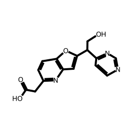 O=C(O)Cc1ccc2oc(C(CO)c3ccncn3)cc2n1